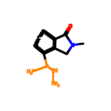 CN1Cc2c(cccc2P(P)PP)C1=O